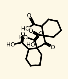 O=C(O)C1CCCCC1(C(=O)O)C(=O)C1(C(=O)O)CCCCC1C(=O)O